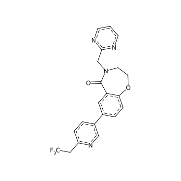 O=C1c2cc(-c3ccc(CC(F)(F)F)nc3)ccc2OCCN1Cc1ncccn1